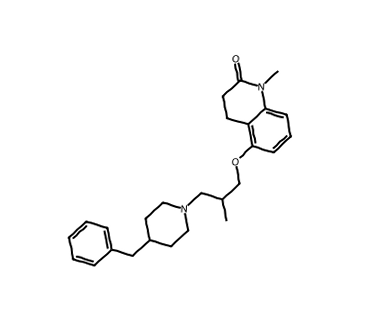 CC(COc1cccc2c1CCC(=O)N2C)CN1CCC(Cc2ccccc2)CC1